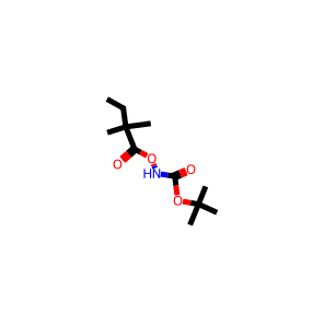 CCC(C)(C)C(=O)ONC(=O)OC(C)(C)C